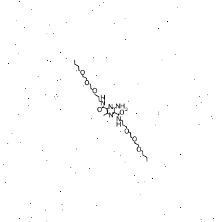 CCCCOCCOCCOCCCNC(=O)c1nc(N)c(C(=O)NCCCOCCOCCOCCCC)nc1C